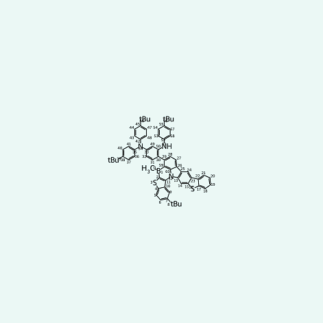 CB1c2sc3ccc(C(C)(C)C)cc3c2-n2c3cc4sc5ccccc5c4cc3c3ccc(-c4ccc(N(c5ccc(C(C)(C)C)cc5)c5ccc(C(C)(C)C)cc5)cc4Nc4ccc(C(C)(C)C)cc4)c1c32